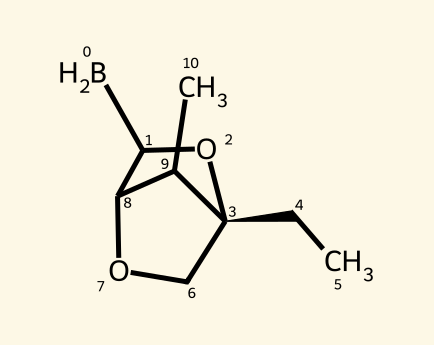 BC1O[C@]2(CC)COC1C2C